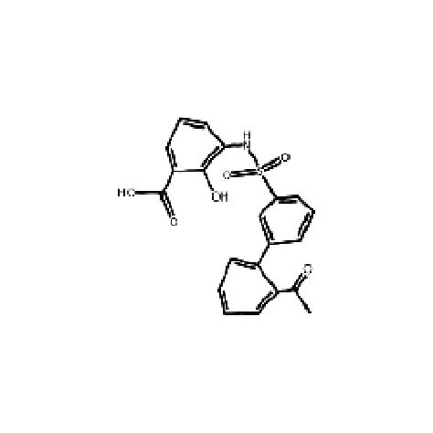 CC(=O)c1ccccc1-c1cccc(S(=O)(=O)Nc2cccc(C(=O)O)c2O)c1